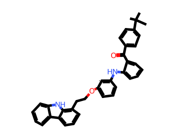 CC(C)(C)c1ccc(C(=O)c2ccccc2Nc2[c]c(OCCc3cccc4c3[nH]c3ccccc34)ccc2)cc1